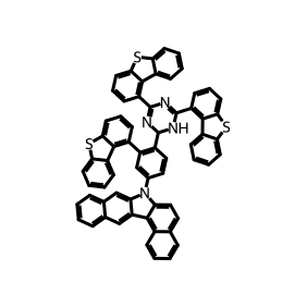 c1ccc2cc3c(cc2c1)c1c2ccccc2ccc1n3-c1ccc(C2N=C(c3cccc4sc5ccccc5c34)N=C(c3cccc4sc5ccccc5c34)N2)c(-c2cccc3sc4ccccc4c23)c1